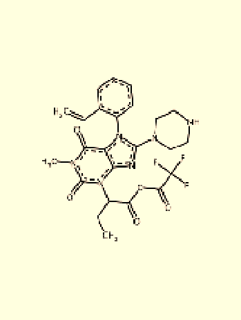 C=Cc1ccccc1-n1c(N2CCNCC2)nc2c1c(=O)n(C)c(=O)n2C(CC)C(=O)OC(=O)C(F)(F)F